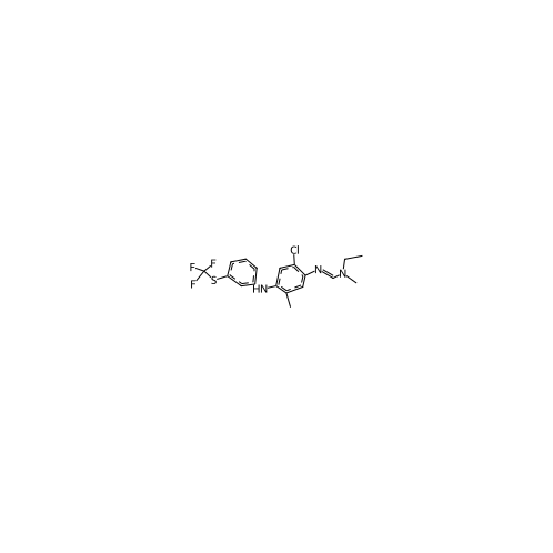 CCN(C)C=Nc1cc(C)c(Nc2cccc(SC(F)(F)F)c2)cc1Cl